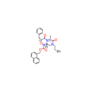 CC(C)CCN1C[C@@H]2N(C(=O)OCc3cccc4ccccc34)O[C@@H](Cc3ccccc3)C(=O)N2[C@@H](C)C1=O